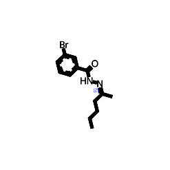 CCCC/C(C)=N\NC(=O)c1cccc(Br)c1